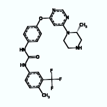 Cc1ccc(NC(=O)Nc2ccc(Oc3cc(N4CCNC[C@H]4C)ncn3)cc2)cc1C(F)(F)F